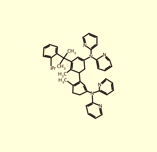 CC1=C(C2CC(N(c3ccccn3)c3ccccn3)=CC(C(C)(C)c3ccccc3C(C)C)=C2C)C=C(N(c2ccccn2)c2ccccn2)CC1